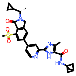 Cc1nc(-c2cc(-c3cc4c(c(S(C)(=O)=O)c3)C(=O)N([C@@H](C)C3CC3)C4)ccn2)[nH]c1C(=O)NC12CC(C1)C2